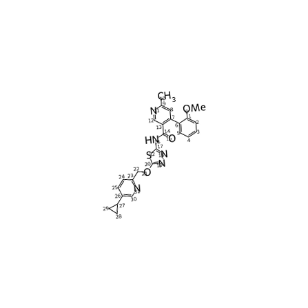 COc1ccccc1-c1cc(C)ncc1C(=O)Nc1nnc(OCc2ccc(C3CC3)cn2)s1